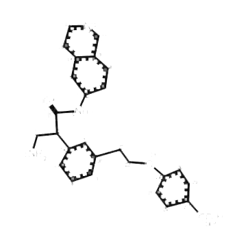 NCC(C(=O)Nc1ccc2cnccc2c1)c1cccc(CCOc2ccc(C(=O)O)cc2)c1